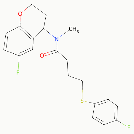 CN(C(=O)CCCSc1ccc(F)cc1)C1CCOc2ccc(F)cc21